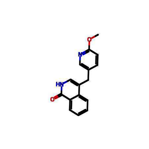 COc1ccc(Cc2c[nH]c(=O)c3ccccc23)cn1